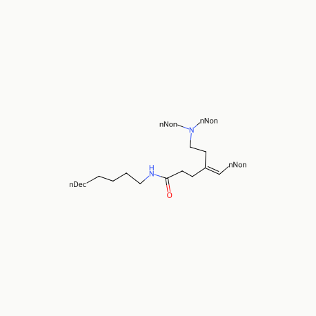 CCCCCCCCC/C=C(/CCC(=O)NCCCCCCCCCCCCCC)CCN(CCCCCCCCC)CCCCCCCCC